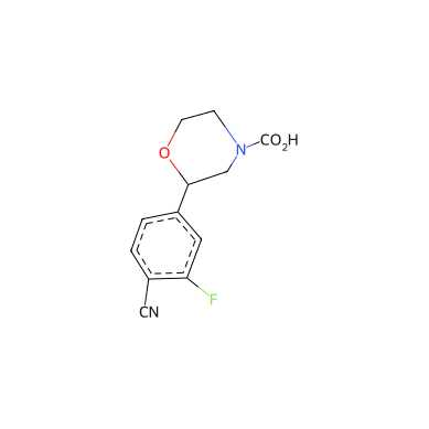 N#Cc1ccc(C2CN(C(=O)O)CCO2)cc1F